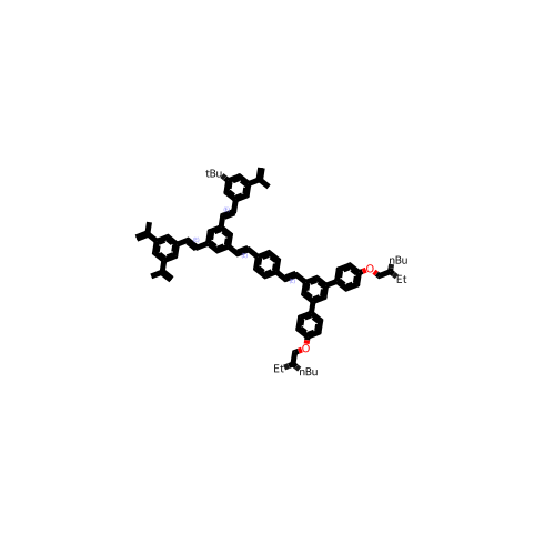 C=C(C)c1cc(/C=C/c2cc(/C=C/c3ccc(/C=C/c4cc(-c5ccc(OCC(CC)CCCC)cc5)cc(-c5ccc(OCC(CC)CCCC)cc5)c4)cc3)cc(/C=C/c3cc(C(=C)C)cc(C(C)(C)C)c3)c2)cc(C(=C)C)c1